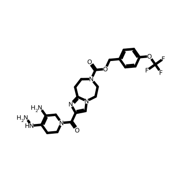 NNC1=C(N)CN(C(=O)c2cn3c(n2)CCN(C(=O)OCc2ccc(OC(F)(F)F)cc2)CC3)CC1